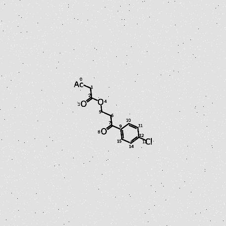 CC(=O)CC(=O)OCCC(=O)c1ccc(Cl)cc1